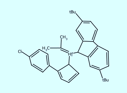 C[C](C)=[Hf]([CH]1C=CC=C1c1ccc(Cl)cc1)[CH]1c2cc(C(C)(C)C)ccc2-c2ccc(C(C)(C)C)cc21